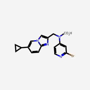 O=C(O)N(Cc1cn2cc(C3CC3)ccc2n1)c1ccnc(Br)c1